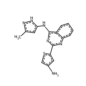 Cc1cc(Nc2nc(-c3cc(N)cs3)nc3ccccc23)[nH]n1